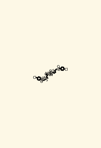 O=C(NCc1ccc(S(=O)(=O)NNC(=O)c2csc(CS(=O)(=O)c3ccc(Cl)cc3)n2)s1)c1ccc(Cl)cc1